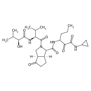 CCCC(NC(=O)C1[C@H]2CCC(=O)[C@H]2CN1C(=O)[C@@H](NC(=O)[C@@H](O)C(C)C)C(C)C)C(=O)C(=O)NC1CC1